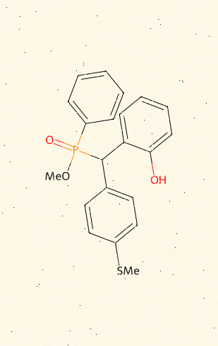 COP(=O)(c1ccccc1)C(c1ccc(SC)cc1)c1ccccc1O